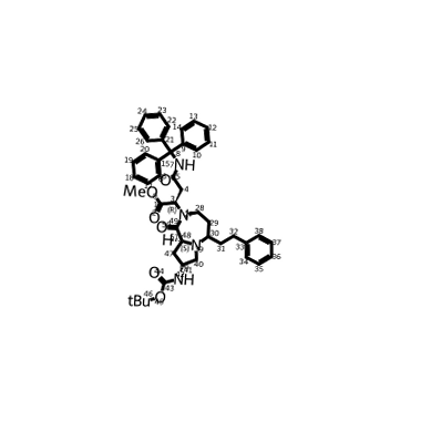 COC(=O)[C@@H](CC(=O)NC(c1ccccc1)(c1ccccc1)c1ccccc1)N1CCC(CCc2ccccc2)N2C[C@H](NC(=O)OC(C)(C)C)C[C@H]2C1=O